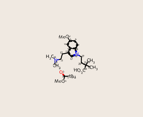 COC(=O)C(C)(C)C.COc1ccc2c(c1)c(CCN(C)C)cn2CCC(C)(C)C(=O)O